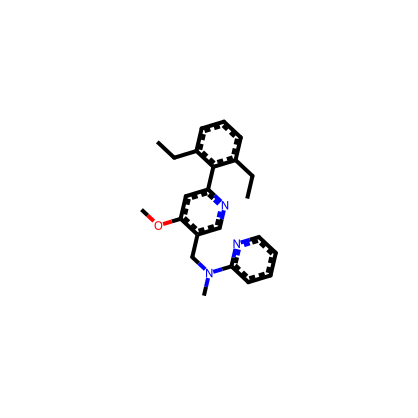 CCc1cccc(CC)c1-c1cc(OC)c(CN(C)c2ccccn2)cn1